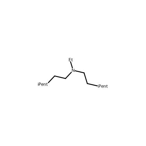 CCCC(C)CCN(CC)CCC(C)CCC